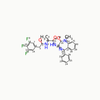 C[C@H](NC(=O)Cc1cc(F)c(F)c(F)c1)C(=O)N[C@H]1N=C(c2ccccc2)c2ccccc2N(C)C1=O